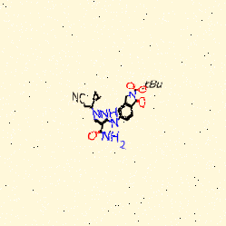 CC(C)(C)OC(=O)N1Cc2cc(Nc3nn(C(CC#N)C4CC4)cc3C(N)=O)ccc2C1=O